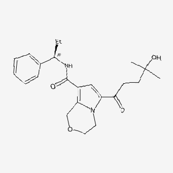 CC[C@@H](NC(=O)c1cc(C(=O)CCC(C)(C)O)n2c1COCC2)c1ccccc1